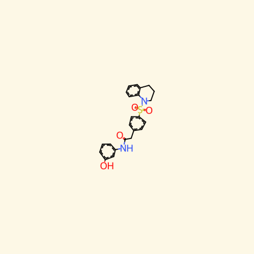 O=C(Cc1ccc(S(=O)(=O)N2CCCc3ccccc32)cc1)Nc1cccc(O)c1